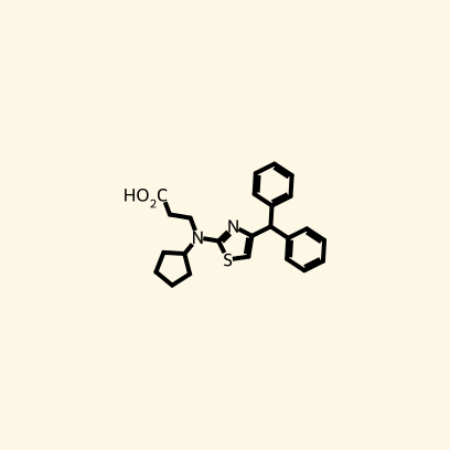 O=C(O)CCN(c1nc(C(c2ccccc2)c2ccccc2)cs1)C1CCCC1